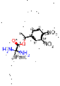 CCCCCC(N)(N)C(=O)OC(C)c1ccc([N+](=O)[O-])c([N+](=O)[O-])c1